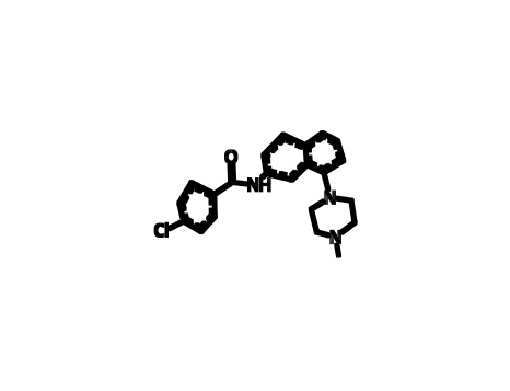 CN1CCN(c2cccc3ccc(NC(=O)c4ccc(Cl)cc4)cc23)CC1